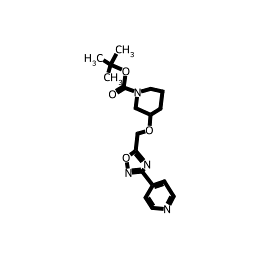 CC(C)(C)OC(=O)N1CCCC(OCc2nc(-c3ccncc3)no2)C1